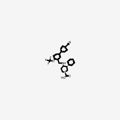 N#Cc1ccc(-c2ccc(OC(F)(F)F)c(CN[C@H]3CCN(C(=O)O)C[C@H]3c3ccccc3)c2)cc1